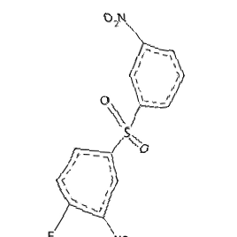 O=[N+]([O-])c1cccc(S(=O)(=O)c2ccc(F)c([N+](=O)[O-])c2)c1